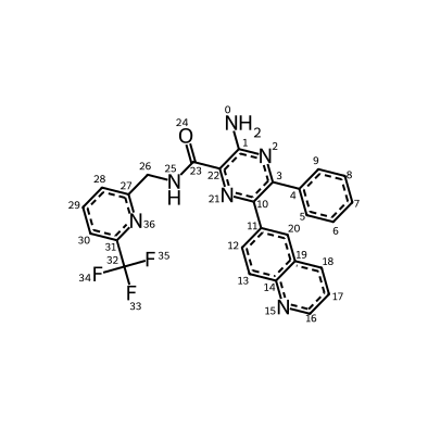 Nc1nc(-c2ccccc2)c(-c2ccc3ncccc3c2)nc1C(=O)NCc1cccc(C(F)(F)F)n1